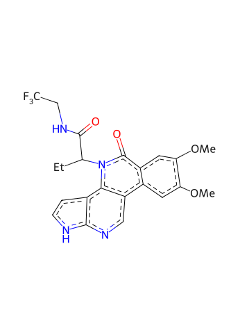 CCC(C(=O)NCC(F)(F)F)n1c(=O)c2cc(OC)c(OC)cc2c2cnc3[nH]ccc3c21